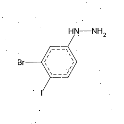 NNc1ccc(I)c(Br)c1